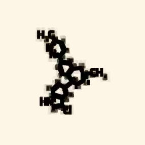 Cc1ccc(-c2ccc3c(c2)CN(C)CCC3c2ccc3[nH]cc(Cl)c3c2)nn1